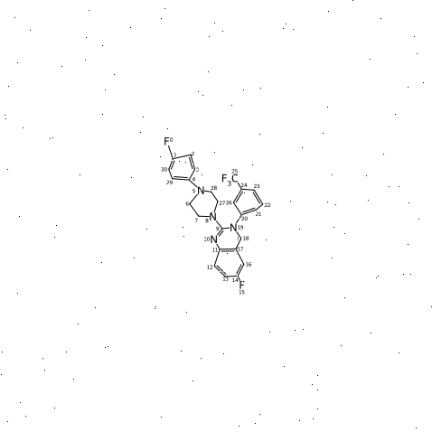 Fc1ccc(N2CCN(C3=Nc4ccc(F)cc4[C]N3c3cccc(C(F)(F)F)c3)CC2)cc1